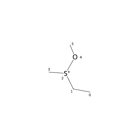 CC[S+](C)OC